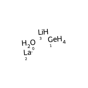 O.[GeH4].[La].[LiH]